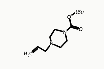 C=CCN1CCN(C(=O)OC(C)(C)C)CC1